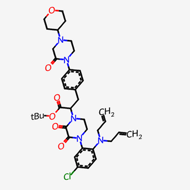 C=CCN(CC=C)c1ccc(Cl)cc1N1CCN(C(Cc2ccc(N3CCN(C4CCOCC4)CC3=O)cc2)C(=O)OC(C)(C)C)C(=O)C1=O